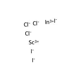 [Cl-].[Cl-].[Cl-].[I-].[I-].[I-].[In+3].[Sc+3]